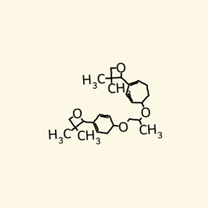 CC(COC1C=CC(C2OCC2(C)C)=CC1)OC1C=CC(C2OCC2(C)C)=CCC1